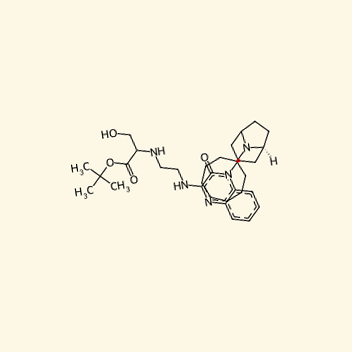 CC(C)(C)OC(=O)C(CO)NCCNc1nc2ccccc2n(C2CC3CC[C@@H](C2)N3C2CCCCCCC2)c1=O